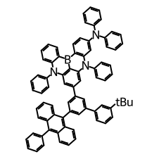 CC(C)(C)c1cccc(-c2cc(-c3cc4c5c(c3)N(c3ccccc3)c3cc(N(c6ccccc6)c6ccccc6)ccc3B5c3ccccc3N4c3ccccc3)cc(-c3c4ccccc4c(-c4ccccc4)c4ccccc34)c2)c1